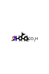 Cc1nc(-c2ccc(-c3ccc(C(=O)O)cc3)c(C3CC3)c2)no1